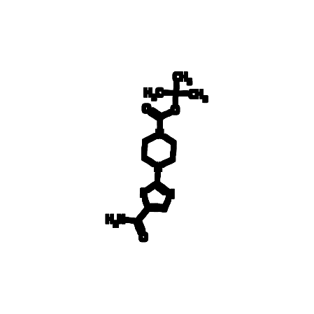 CC(C)(C)OC(=O)N1CCN(c2ncc(C(N)=O)s2)CC1